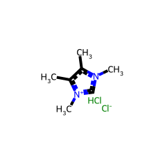 Cc1c(C)[n+](C)cn1C.Cl.[Cl-]